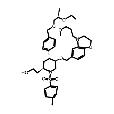 CCO[C@H](C)COCc1ccc([C@H]2C[C@H](CCO)N(S(=O)(=O)c3ccc(C)cc3)C[C@@H]2OCc2ccc3c(c2)N(CCCOC)CCO3)cc1